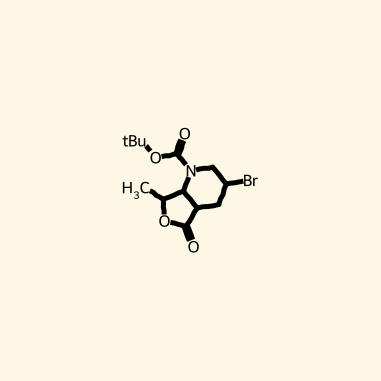 CC1OC(=O)C2CC(Br)CN(C(=O)OC(C)(C)C)C12